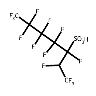 O=S(=O)(O)C(F)(C(F)C(F)(F)F)C(F)(F)C(F)(F)C(F)(F)C(F)(F)F